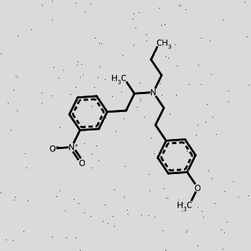 CCCN(CCc1ccc(OC)cc1)C(C)Cc1cccc([N+](=O)[O-])c1